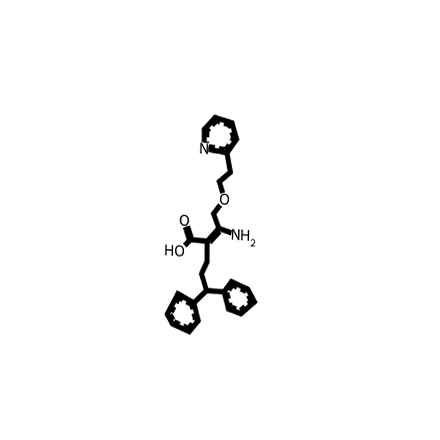 NC(COCCc1ccccn1)=C(CCC(c1ccccc1)c1ccccc1)C(=O)O